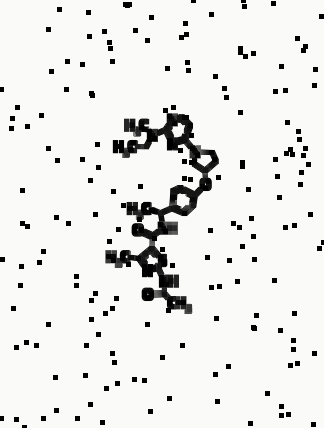 CCN(C)c1nccc(N2CCC(Oc3ccc([C@H](C)NC(=O)c4sc(NC(C)=O)nc4C)cc3)C2)n1